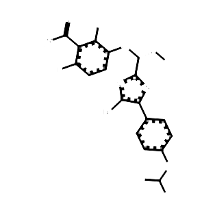 NC(=O)c1c(F)ccc(O[C@H](CO)c2nc(-c3ccc(OC(F)F)cc3)c(Br)o2)c1F